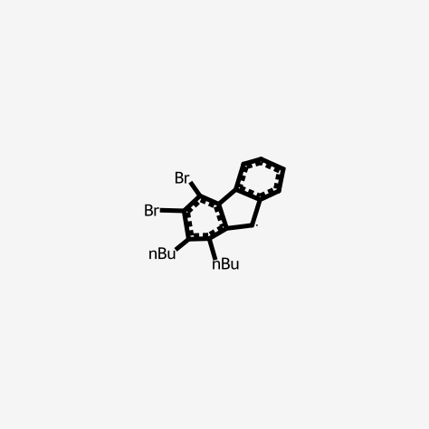 CCCCc1c(Br)c(Br)c2c(c1CCCC)[CH]c1ccccc1-2